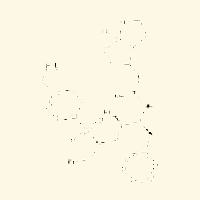 CC(C)CN(C[C@@H](O)[C@H](Cc1ccccc1)NC(=O)OC1CO[C@H]2OCCC12)S(=O)(=O)c1ccc(CN)cc1